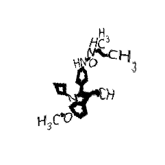 C#Cc1c(-c2ccc(NC(=O)NC(C)CC)cc2)n(C2CCC2)c2cc(OCC)ccc12